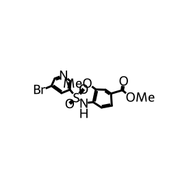 COC(=O)c1ccc(NS(=O)(=O)c2cncc(Br)c2)c(OC)c1